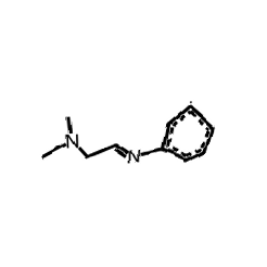 CN(C)CC=Nc1c[c]ccc1